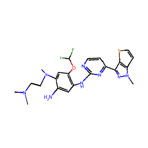 CN(C)CCN(C)c1cc(OC(F)F)c(Nc2nccc(-c3nn(C)c4ccsc34)n2)cc1N